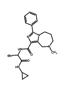 CN1CCCn2c(-c3ccccc3)nc(C(=O)NC(C(=O)NC3CC3)C(C)(C)C)c2C1